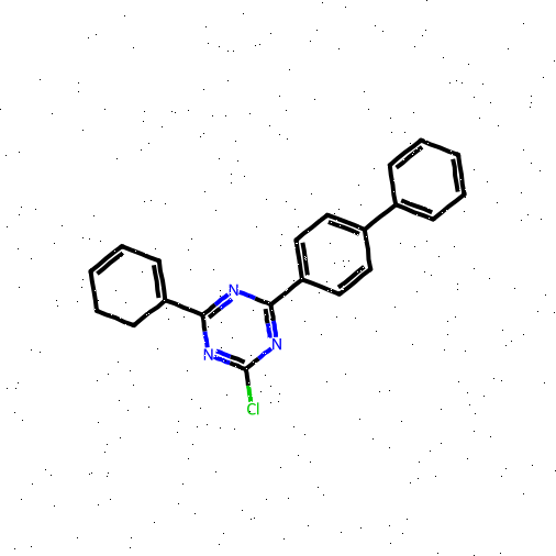 Clc1nc(C2=CC=CCC2)nc(-c2ccc(-c3ccccc3)cc2)n1